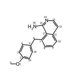 COc1ccc(Cc2cccc3ccnc(N)c23)cc1